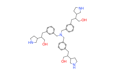 OCC(Cc1cccc(CN(Cc2cccc(CC(CO)C3CCNC3)c2)Cc2cccc(CC(CO)C3CCNC3)c2)c1)C1CCNC1